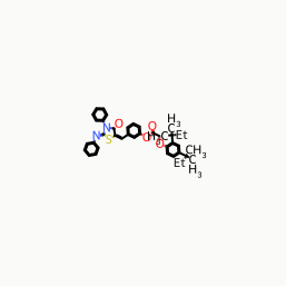 CCC(C)(C)c1ccc(OCC(=O)Oc2cccc(C=C3SC(=Nc4ccccc4)N(c4ccccc4)C3=O)c2)c(C(C)(C)CC)c1